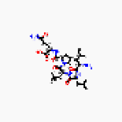 CC(C)C[C@H](NC(=O)[C@@H](N)CC(C)C)C(=O)N[C@@H](CC(C)C)C(=O)N1CCC[C@H]1C(=O)N[C@@H](CCC(N)=O)C(=O)O